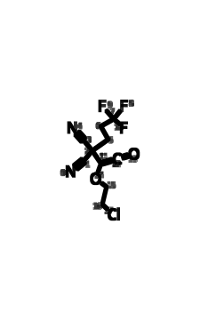 N#CC(C#N)(CCC(F)(F)F)C(=C=O)OCCCl